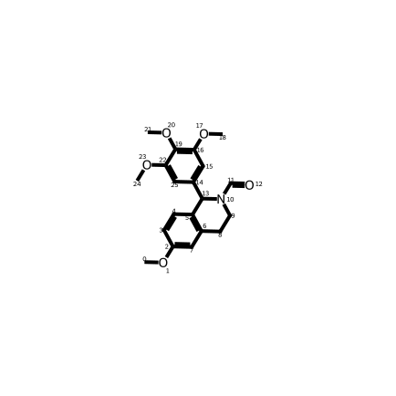 COc1ccc2c(c1)CCN(C=O)C2c1cc(OC)c(OC)c(OC)c1